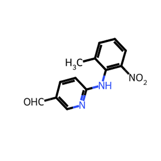 Cc1cccc([N+](=O)[O-])c1Nc1ccc(C=O)cn1